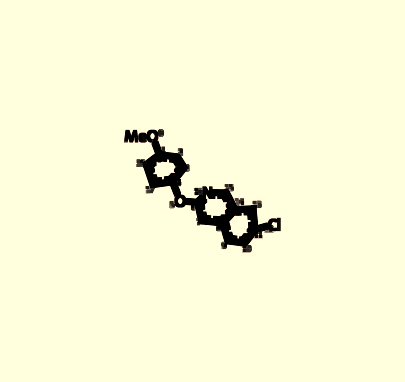 COc1ccc(Oc2cc3ccc(Cl)cc3cn2)cc1